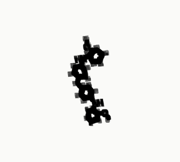 COc1ccccc1Nc1ccc(Cc2ccc(Nc3ccccc3OC)cc2)cc1